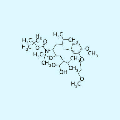 COCCCOc1cc(C[C@H](CC2C(C[C@H](C(=O)O)C(C)C)OC(C)(C)N2C(=O)OC(C)(C)C)C(C)C)ccc1OC